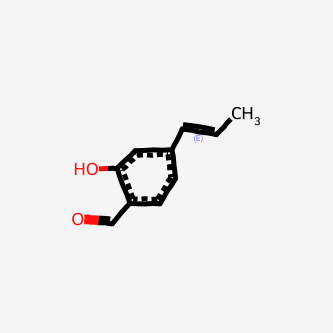 C/C=C/c1ccc(C=O)c(O)c1